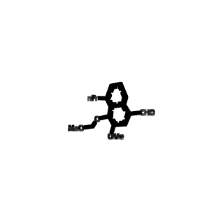 CCCc1cccc2c(C=O)cc(OC)c(OCOC)c12